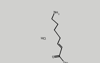 Cl.NCCCCC=CC(=O)O